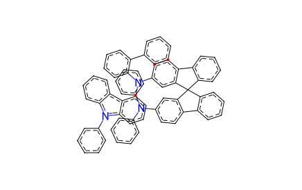 c1ccc(-c2ccccc2N(c2ccc3c(c2)C2(c4ccccc4-c4ccc(N(c5ccccc5)c5ccccc5)cc42)c2ccccc2-3)c2cccc3c2c2ccccc2n3-c2ccccc2)cc1